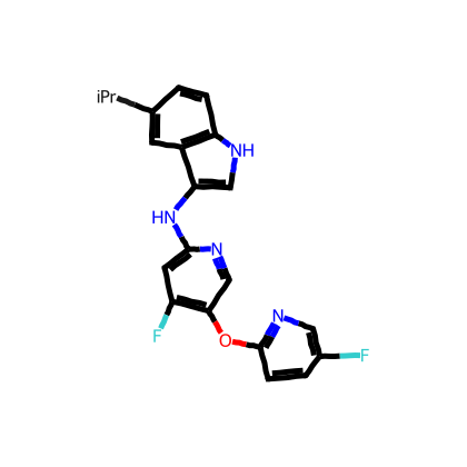 CC(C)c1ccc2[nH]cc(Nc3cc(F)c(Oc4ccc(F)cn4)cn3)c2c1